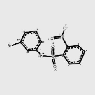 O=[N+]([O-])c1ccccc1S(=O)(=O)Nc1cccc(Br)c1